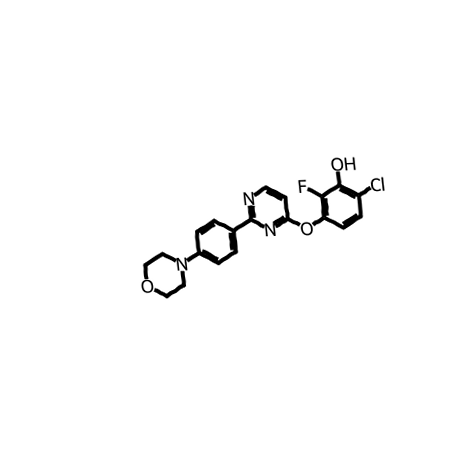 Oc1c(Cl)ccc(Oc2ccnc(-c3ccc(N4CCOCC4)cc3)n2)c1F